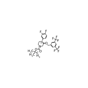 CC(C)(C)OC(=O)N1CC[C@@H](c2ccc(F)c(F)c2)[C@@H](OCc2cc(C(F)(F)F)cc(C(F)(F)F)c2)C1